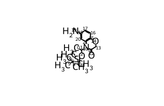 CC(O[Si](C)(C)C(C)(C)C)N1C(=O)COc2ccc(N)cc21